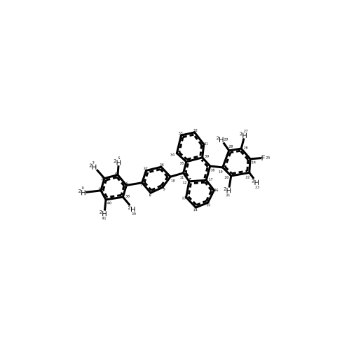 [2H]c1c([2H])c([2H])c(-c2ccc(-c3c4ccccc4c(-c4c([2H])c([2H])c(F)c([2H])c4[2H])c4ccccc34)cc2)c([2H])c1[2H]